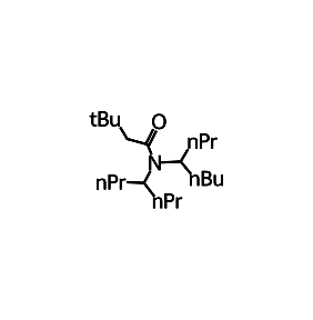 CCCCC(CCC)N(C(=O)CC(C)(C)C)C(CCC)CCC